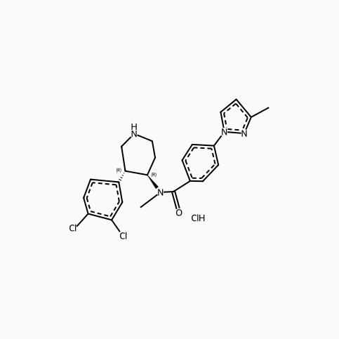 Cc1ccn(-c2ccc(C(=O)N(C)[C@@H]3CCNC[C@H]3c3ccc(Cl)c(Cl)c3)cc2)n1.Cl